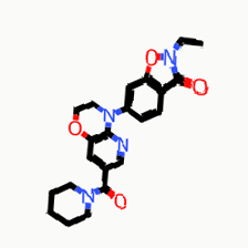 CCn1oc2cc(N3CCOc4cc(C(=O)N5CCCCC5)cnc43)ccc2c1=O